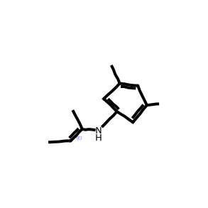 C/C=C(\C)Nc1cc(C)cc(C)c1